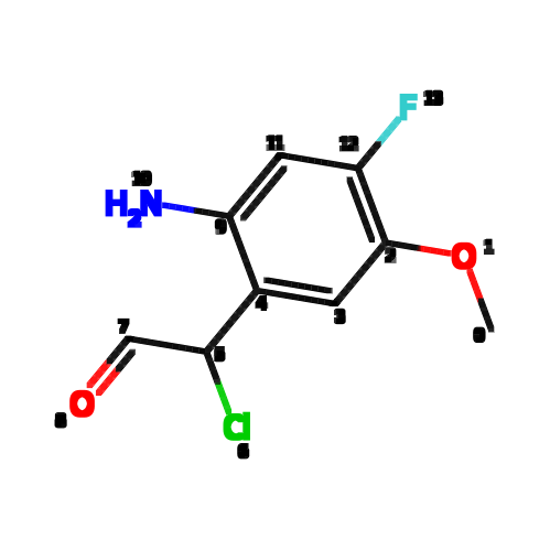 COc1cc(C(Cl)C=O)c(N)cc1F